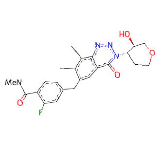 CNC(=O)c1ccc(Cc2cc3c(=O)n([C@H]4CCOC[C@@H]4O)nnc3c(C)c2C)cc1F